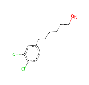 OCCCCCCc1ccc(Cl)c(Cl)c1